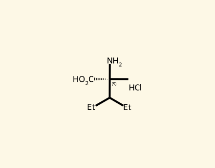 CCC(CC)[C@](C)(N)C(=O)O.Cl